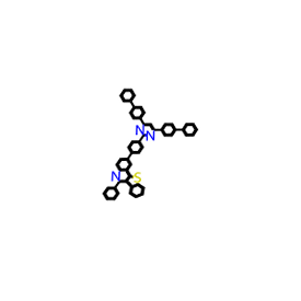 c1ccc(-c2ccc(-c3cc(-c4ccc(-c5ccccc5)cc4)nc(-c4ccc(-c5ccc6nc(-c7ccccc7)c7c8ccccc8sc7c6c5)cc4)n3)cc2)cc1